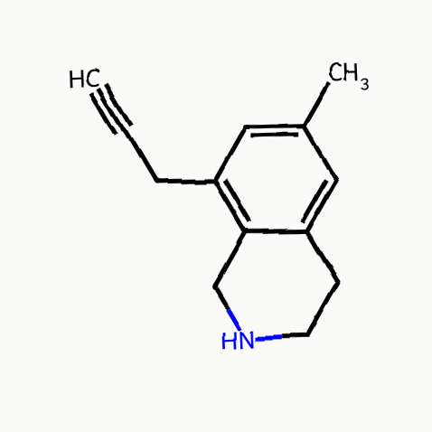 C#CCc1cc(C)cc2c1CNCC2